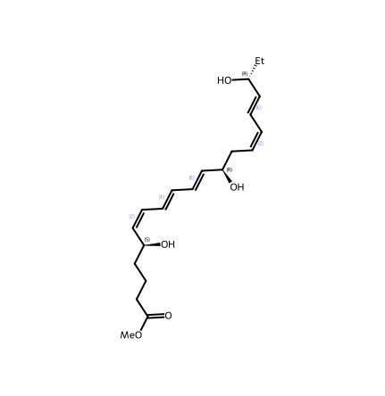 CC[C@@H](O)/C=C/C=C\C[C@@H](O)/C=C/C=C/C=C\[C@@H](O)CCCC(=O)OC